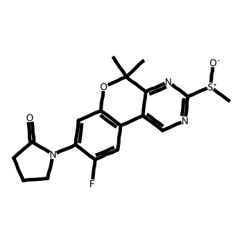 C[S+]([O-])c1ncc2c(n1)C(C)(C)Oc1cc(N3CCCC3=O)c(F)cc1-2